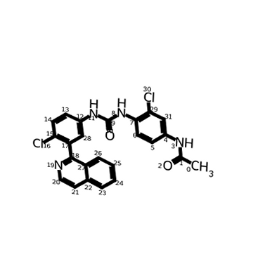 CC(=O)Nc1ccc(NC(=O)Nc2ccc(Cl)c(-c3nccc4ccccc34)c2)c(Cl)c1